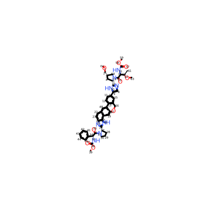 COC[C@H]1C[C@@H](c2ncc(-c3ccc4c(c3)COc3cc5c(ccc6nc([C@@H]7CCCN7C(=O)[C@H](NC(=O)OC)c7ccccc7)[nH]c65)cc3-4)[nH]2)N(C(=O)C(NC(=O)OC)[C@@H](C)OC)C1